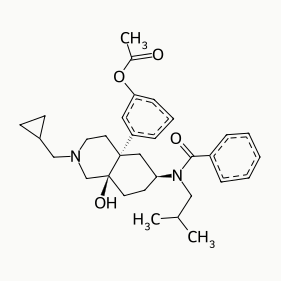 CC(=O)Oc1cccc([C@@]23CCN(CC4CC4)C[C@@]2(O)CC[C@H](N(CC(C)C)C(=O)c2ccccc2)C3)c1